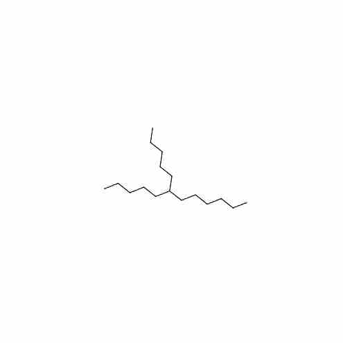 CCCCCCC(CCCCC)CCCCC